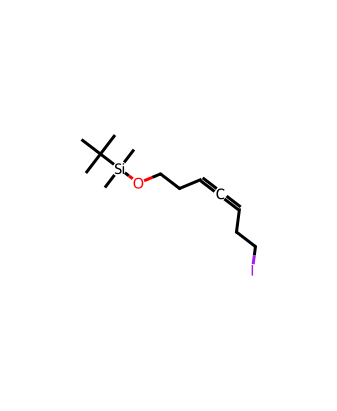 CC(C)(C)[Si](C)(C)OCCC=C=CCCI